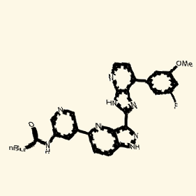 CCCCC(=O)Nc1cncc(-c2ccc3[nH]nc(-c4nc5c(-c6cc(F)cc(OC)c6)ccnc5[nH]4)c3n2)c1